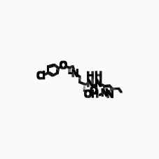 CCc1cc(NC(=O)N[C@H](CO)CCN2CC(Oc3ccc(Cl)cc3)C2)n(C)n1